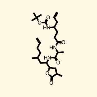 C=CCCC(C)CC(NC(=O)C(C)NC(=O)CCC(CC=C)NC(=O)OC(C)(C)C)C1CC(C)C(=O)O1